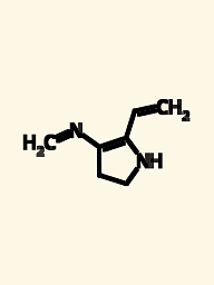 C=CC1=C(N=C)CCN1